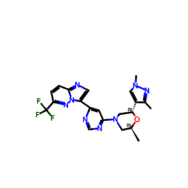 Cc1nn(C)cc1[C@H]1CN(c2cc(-c3cnc4ccc(C(F)(F)F)nn34)ncn2)C[C@H](C)O1